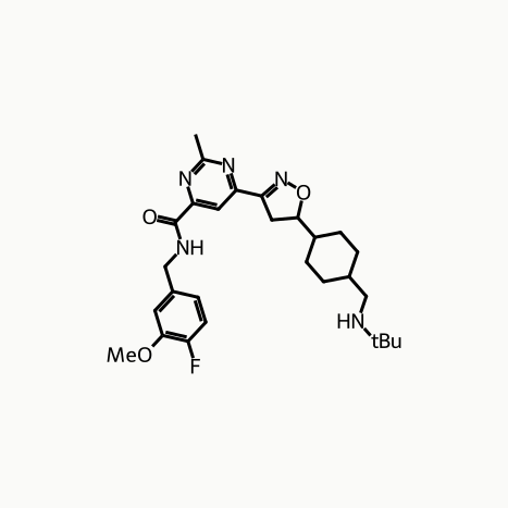 COc1cc(CNC(=O)c2cc(C3=NOC(C4CCC(CNC(C)(C)C)CC4)C3)nc(C)n2)ccc1F